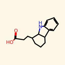 O=C(O)CCC1CCCC2c3ccccc3NC12